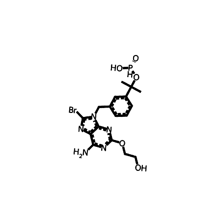 CC(C)(O[PH](=O)O)c1cccc(Cn2c(Br)nc3c(N)nc(OCCO)nc32)c1